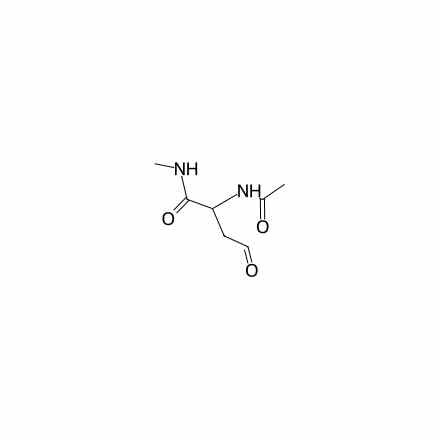 CNC(=O)C(CC=O)NC(C)=O